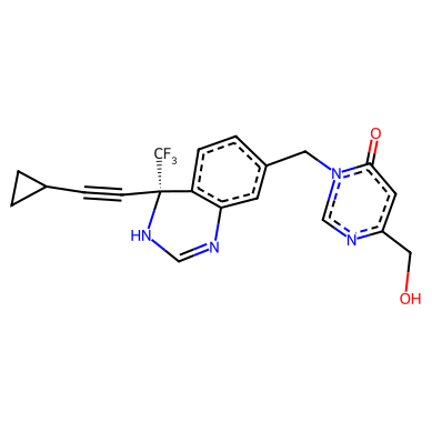 O=c1cc(CO)ncn1Cc1ccc2c(c1)N=CN[C@]2(C#CC1CC1)C(F)(F)F